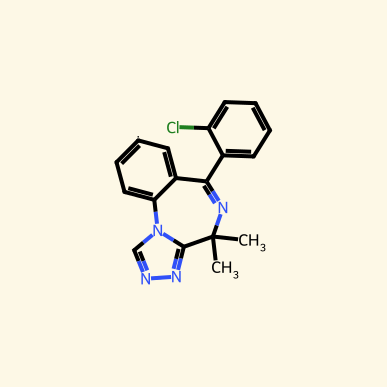 CC1(C)N=C(c2ccccc2Cl)c2c[c]ccc2-n2cnnc21